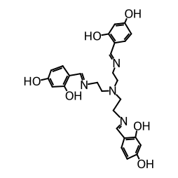 Oc1ccc(C=NCCN(CCN=Cc2ccc(O)cc2O)CCN=Cc2ccc(O)cc2O)c(O)c1